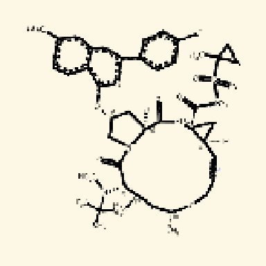 COc1ccc2c(O[C@@H]3C[C@H]4C(=O)N[C@]5(C(=O)NS(=O)(=O)C6(C)CC6)C[C@H]5/C=C\CC[C@H](C)C[C@@H](C)[C@H](N(C(=O)O)C(C)(C)C(F)(F)F)C(=O)N4C3)nc(-c3ccc(F)cc3)cc2c1